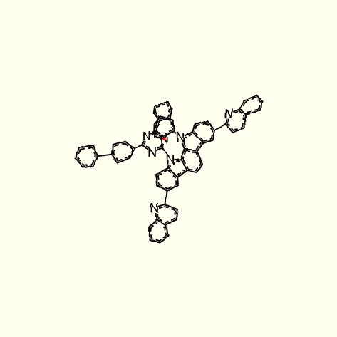 c1ccc(-c2ccc(-c3nc(-c4ccccc4)nc(-n4c5ccc(-c6ccc7ccccc7n6)cc5c5ccc6c7cc(-c8ccc9ccccc9n8)ccc7n(-c7ccccc7)c6c54)n3)cc2)cc1